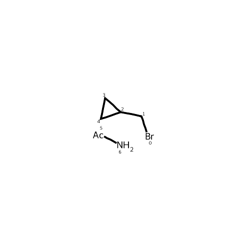 BrCC1CC1.CC(N)=O